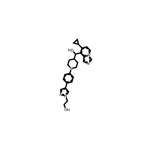 OCCn1cc(-c2ccc(N3CCC(C(O)c4c(C5CC5)ccn5cncc45)CC3)cc2)cn1